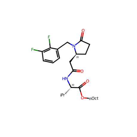 CCCCCCCCOC(=O)[C@@H](NC(=O)C[C@@H]1CCC(=O)N1Cc1cccc(F)c1F)C(C)C